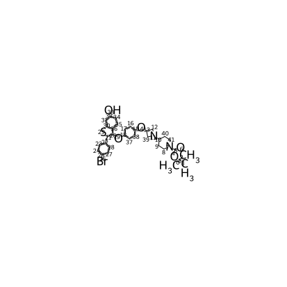 CC(C)(C)OC(=O)N1CCC(N2CC(Oc3ccc(Oc4c(-c5ccc(Br)cc5)sc5cc(O)ccc45)cc3)C2)CC1